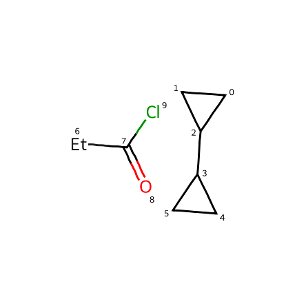 C1CC1C1CC1.CCC(=O)Cl